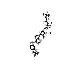 O=C(NS(=O)(=O)OC[C@H]1O[C@@H](n2cnc3c(Nc4cccc(SC(F)(F)F)c4)ncnc32)[C@@H](F)[C@@H]1O)OCC(F)(F)F